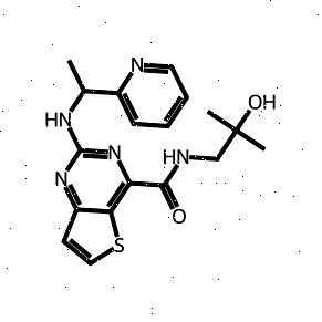 CC(Nc1nc(C(=O)NCC(C)(C)O)c2sccc2n1)c1ccccn1